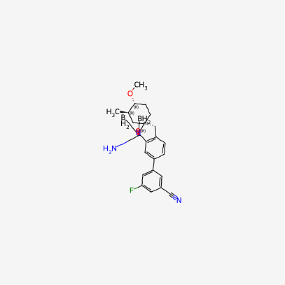 BC1(B)OC(N)=N[C@]12c1cc(-c3cc(F)cc(C#N)c3)ccc1C[C@]21CC[C@@H](OC)[C@H](C)C1